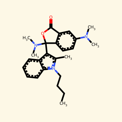 CCCCn1c(C)c(C2(N(C)C)OC(=O)c3cc(N(C)C)ccc32)c2ccccc21